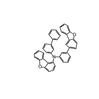 c1ccc(-c2cccc(N(c3cccc(-c4ccc5oc6ccccc6c5c4)c3)c3cccc4oc5ccccc5c34)c2)cc1